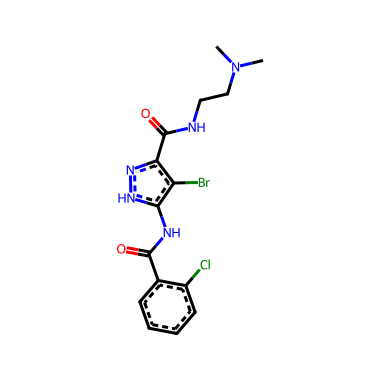 CN(C)CCNC(=O)c1n[nH]c(NC(=O)c2ccccc2Cl)c1Br